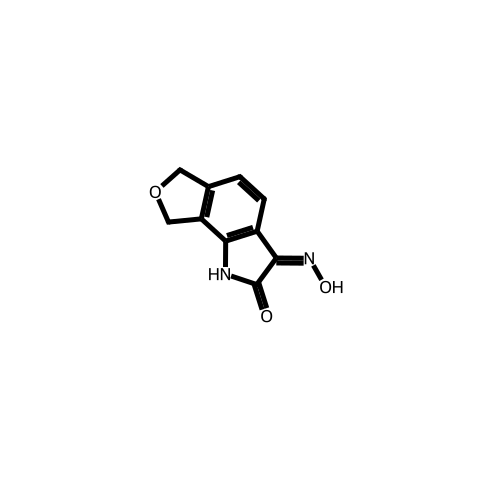 O=C1Nc2c(ccc3c2COC3)/C1=N/O